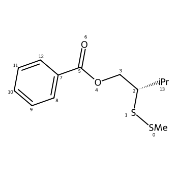 CSS[C@H](COC(=O)c1ccccc1)C(C)C